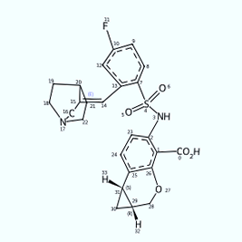 O=C(O)c1c(NS(=O)(=O)c2ccc(F)cc2/C=C2/CN3CCC2CC3)ccc2c1OC[C@@H]1C[C@H]21